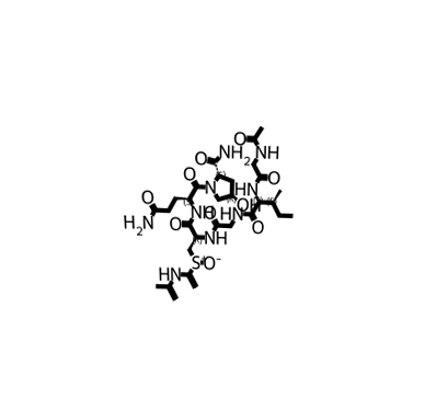 C=C(C)NC(=C)[S+]([O-])C[C@H](NC(=O)CNC(=O)[C@@H](NC(=O)CNC(C)=O)[C@@H](C)CC)C(=O)N[C@@H](CCC(N)=O)C(=O)N1C[C@H](O)C[C@H]1C(N)=O